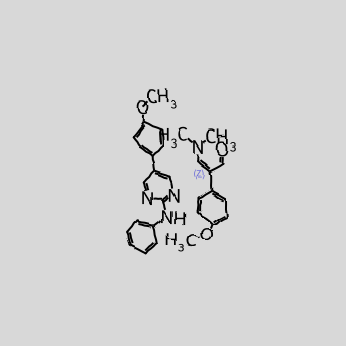 COc1ccc(-c2cnc(Nc3ccccc3)nc2)cc1.COc1ccc(/C(C=O)=C/N(C)C)cc1